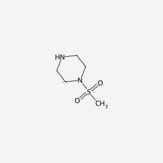 CS(=O)(=O)N1[CH]CNCC1